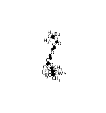 CCC(C)C(C)(C)OC(=O)OCCOCCOC(=O)OC(C)(C)C(C)(CC)C(C)(C)OC